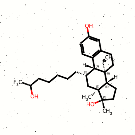 C=C[C@@]12CCc3cc(O)ccc3[C@H]1[C@@H](CCCCCC(O)C(F)(F)F)C[C@@]1(C)[C@H]2CC[C@]1(C)O